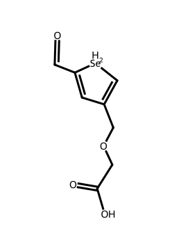 O=CC1=CC(COCC(=O)O)=C[SeH2]1